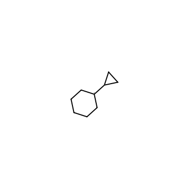 C1CC[C](C2CC2)CC1